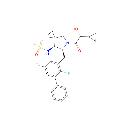 CS(=O)(=O)N[C@@H]1[C@H](Cc2cc(F)cc(-c3ccccc3)c2F)N(C(=O)[C@H](O)C2CC2)CC12CC2